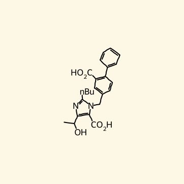 CCCCc1nc(C(C)O)c(C(=O)O)n1Cc1ccc(-c2ccccc2)c(C(=O)O)c1